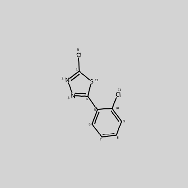 Clc1nnc(-c2ccccc2Cl)s1